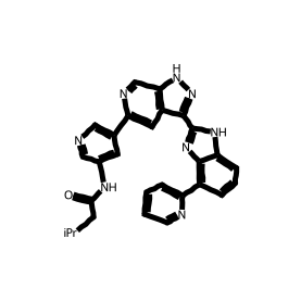 CC(C)CC(=O)Nc1cncc(-c2cc3c(-c4nc5c(-c6ccccn6)cccc5[nH]4)n[nH]c3cn2)c1